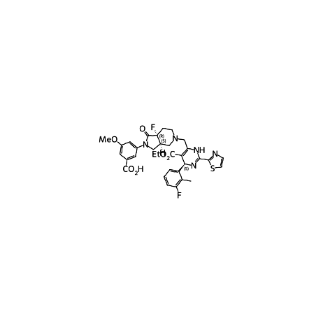 CCOC(=O)C1=C(CN2CC[C@]3(F)C(=O)N(c4cc(OC)cc(C(=O)O)c4)C[C@@H]3C2)NC(c2nccs2)=N[C@H]1c1cccc(F)c1C